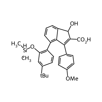 COc1ccc(C2=C(C(=O)O)C(O)c3cccc(-c4ccc(C(C)(C)C)cc4O[SiH](C)C)c32)cc1